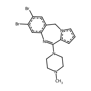 CN1CCN(C2=Nc3cc(Br)c(Br)cc3Cn3cccc32)CC1